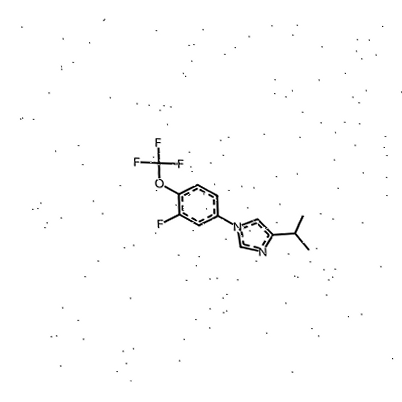 CC(C)c1cn(-c2ccc(OC(F)(F)F)c(F)c2)cn1